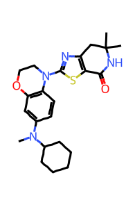 CN(c1ccc2c(c1)OCCN2c1nc2c(s1)C(=O)NC(C)(C)C2)C1CCCCC1